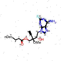 C#CC(COC(=O)CCCCCCCCCCCC)(OC)[C@@H](O)Cn1cnc2c(N)nc(F)nc21